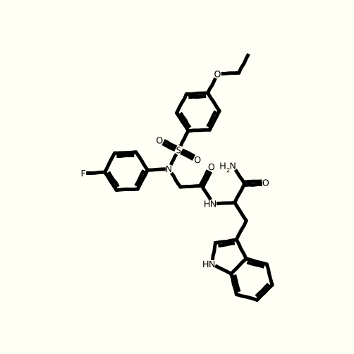 CCOc1ccc(S(=O)(=O)N(CC(=O)NC(Cc2c[nH]c3ccccc23)C(N)=O)c2ccc(F)cc2)cc1